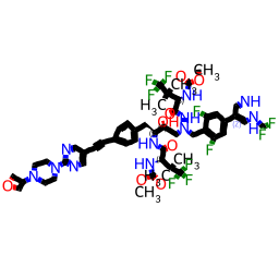 COC(=O)N[C@H](C(=O)N[C@@H](Cc1ccc(C#Cc2cnc(N3CCN(C4COC4)CC3)nc2)cc1)[C@@H](O)CN(Cc1c(F)cc(/C(C=N)=C/NC(F)F)cc1F)NC(=O)[C@@H](NC(=O)OC)C(C)(C)C(F)(F)F)C(C)(C)C(F)(F)F